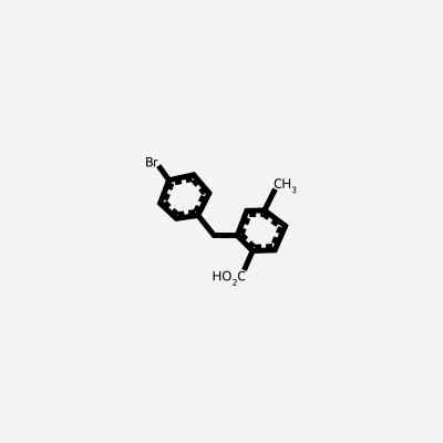 Cc1ccc(C(=O)O)c(Cc2ccc(Br)cc2)c1